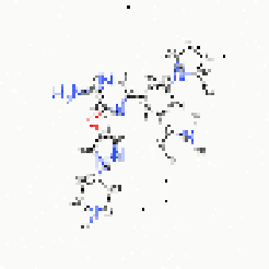 CCC(c1cc(-c2cnc(N)c(Oc3cnn(C4CCN(C)CC4)c3)n2)cc(N2CCC[C@H]2C)c1)N(C)C